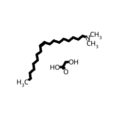 CCCCCCCC/C=C\CCCCCCCCN(C)C.O=C(O)CO